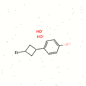 [B+2]c1ccc(C2CC(CC)C2)cc1.[OH-].[OH-]